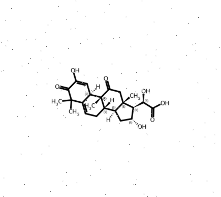 CC1(C)C(=O)C(O)=C[C@@H]2C1=CC[C@H]1[C@@H]3C[C@@H](O)[C@H]([C@@H](O)C(=O)O)[C@@]3(C)CC(=O)[C@@]21C